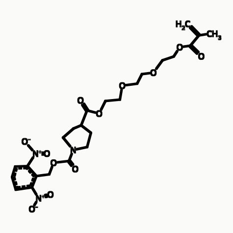 C=C(C)C(=O)OCCOCCOCCOC(=O)C1CCN(C(=O)OCc2c([N+](=O)[O-])cccc2[N+](=O)[O-])CC1